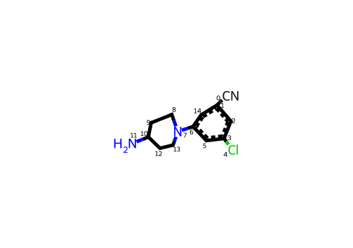 N#Cc1cc(Cl)cc(N2CCC(N)CC2)c1